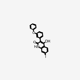 O=c1[nH]c2cc(I)ccc2c(O)c1-c1cccc(Oc2ccccc2)c1